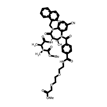 COC(=O)COCCOCCNC(=O)c1ccc(C(=O)N2c3cc(C#N)ccc3N(Cc3c(OC)ccc4ccccc34)C(=O)[C@@H](NC(=O)C(C)N(C)C(=O)OC(C)(C)C)[C@@H]2C)cc1